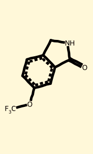 O=C1NCc2ccc(OC(F)(F)F)cc21